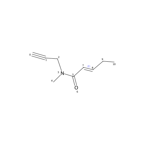 C#CCN(C)C(=O)/C=C/CC